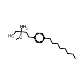 CCCCCCCCc1ccc(CCC(N)(CO)OC)cc1